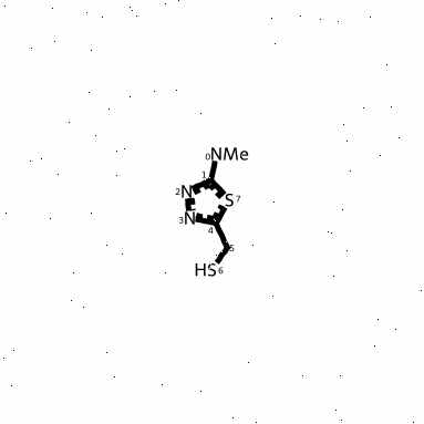 CNc1nnc(CS)s1